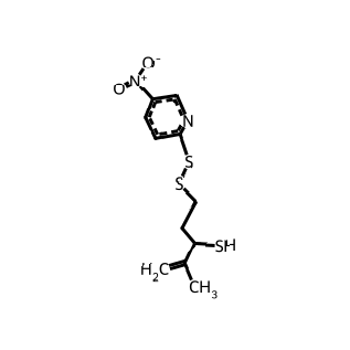 C=C(C)C(S)CCSSc1ccc([N+](=O)[O-])cn1